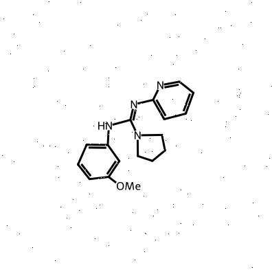 COc1cccc(NC(=Nc2ccccn2)N2CCCC2)c1